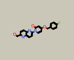 O=Cc1ccc2nc(-n3ccc(OCc4ccc(F)cc4)cc3=O)ccc2n1